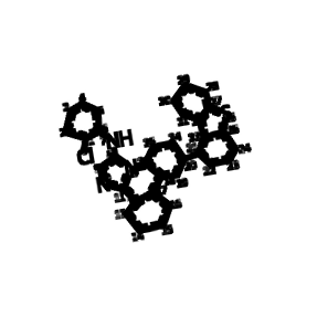 Clc1ccccc1Nc1cnc2c3ccccc3c3cc(-c4cccc5sc6ccccc6c45)ccc3n12